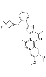 COc1cc2nc(C)nc(NC(C)c3ccc(-c4ccccc4CN4CC(F)(F)C4)s3)c2cc1OC